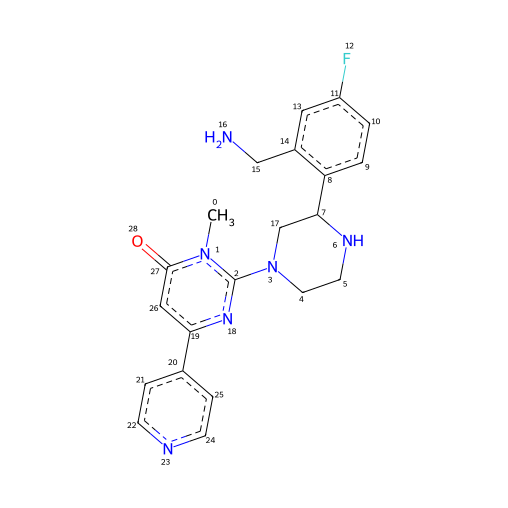 Cn1c(N2CCNC(c3ccc(F)cc3CN)C2)nc(-c2ccncc2)cc1=O